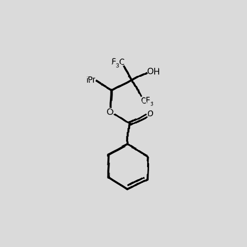 CC(C)C(OC(=O)C1CC=CCC1)C(O)(C(F)(F)F)C(F)(F)F